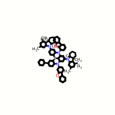 Cc1cc(C)c2c(c1)N(c1ccc3c(c1)N(c1cccc4c1oc1ccccc14)c1cc(N4c5cc(C)cc(C)c5C5(C)CCCCC45C)cc4c1B3c1cc(-c3ccccc3)ccc1N4c1ccc3c(c1)oc1ccccc13)C1(C)CCCCC21C